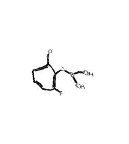 OB(O)Oc1c(F)cccc1Cl